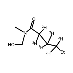 [2H]C([2H])(CC)C([2H])([2H])C([2H])([2H])C(=O)N(C)CO